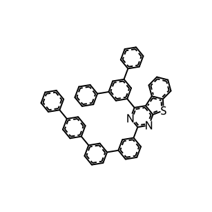 c1ccc(-c2ccc(-c3cccc(-c4cccc(-c5nc(-c6cc(-c7ccccc7)cc(-c7ccccc7)c6)c6c(n5)sc5ccccc56)c4)c3)cc2)cc1